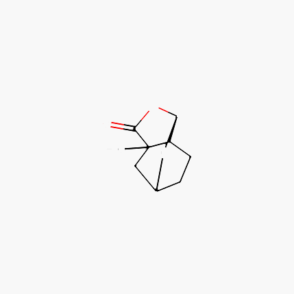 CC12CC3CCC1C(C3)OC2=O